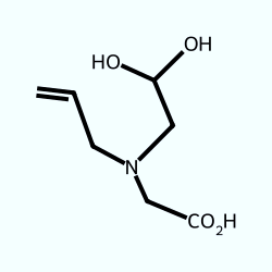 C=CCN(CC(=O)O)CC(O)O